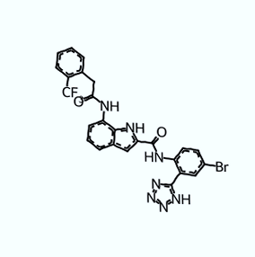 O=C(Cc1ccccc1C(F)(F)F)Nc1cccc2cc(C(=O)Nc3ccc(Br)cc3-c3nnn[nH]3)[nH]c12